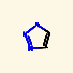 [C]1=C[N]N=N1